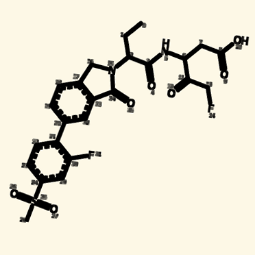 CCC(C(=O)NC(CC(=O)O)C(=O)CF)N1Cc2ccc(-c3ccc(S(C)(=O)=O)cc3F)cc2C1=O